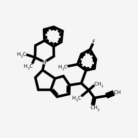 C#CC(=C)C(C)(C)C(C1=CC=C2CCC(N3Cc4ccccc4CC3(C)C)C2C1)c1ccc(F)cc1C